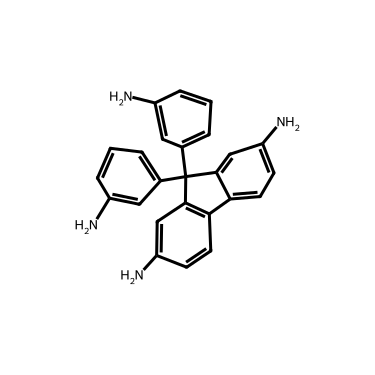 Nc1cccc(C2(c3cccc(N)c3)c3cc(N)ccc3-c3ccc(N)cc32)c1